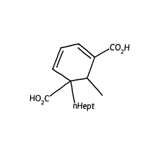 CCCCCCCC1(C(=O)O)C=CC=C(C(=O)O)C1C